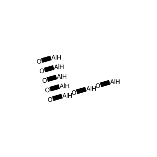 [O]=[AlH].[O]=[AlH].[O]=[AlH].[O]=[AlH].[O]=[AlH].[O]=[AlH].[O]=[AlH]